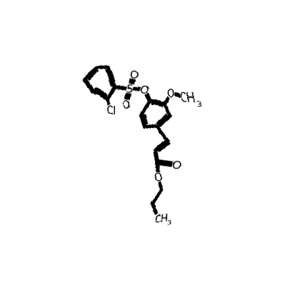 CCCOC(=O)C=Cc1ccc(OS(=O)(=O)c2ccccc2Cl)c(OC)c1